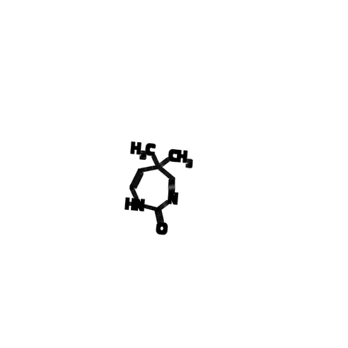 CC1(C)C=CNC(=O)N=C1